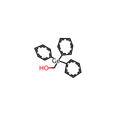 O[CH2][Ge]([c]1ccccc1)([c]1ccccc1)[c]1ccccc1